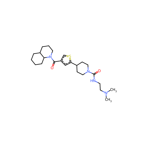 CN(C)CCNC(=O)N1CCC(c2cc(C(=O)N3CCCC4CCCCC43)cs2)CC1